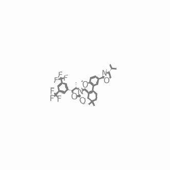 COc1ccc(C2=N[C@H](C(C)C)CO2)cc1C1=C(CN2C(=O)O[C@H](c3cc(C(F)(F)F)cc(C(F)(F)F)c3)[C@@H]2C)CC(C)(C)CC1